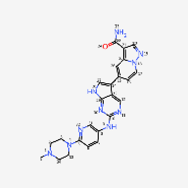 CN1CCN(c2ccc(Nc3ncc4c(-c5ccn6ncc(C(N)=O)c6c5)c[nH]c4n3)cn2)CC1